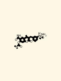 C=S(N)(=O)Nc1cccc(Cc2c(C)c3cc(C(N)=O)c(OC(=O)N(C)C)cc3oc2=O)c1